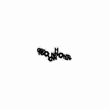 CN1CCN(c2ccc(Nc3nc4c(-c5cccc(CN(C)S(C)(=O)=O)c5)cccn4n3)cc2)CC1